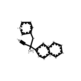 CC(C#N)(Cc1cccnc1)c1ccc2ccccc2c1